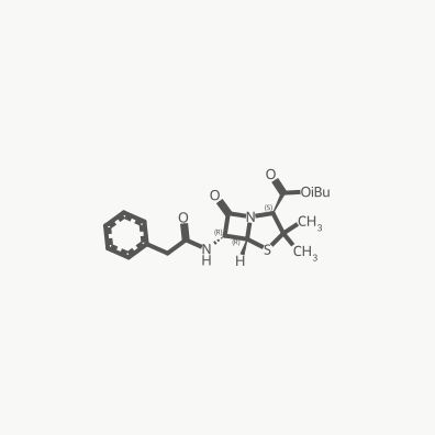 CC(C)COC(=O)[C@@H]1N2C(=O)[C@@H](NC(=O)Cc3ccccc3)[C@H]2SC1(C)C